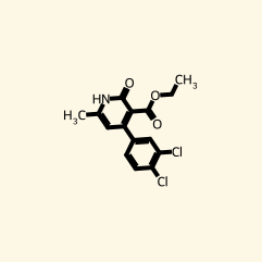 CCOC(=O)c1c(-c2ccc(Cl)c(Cl)c2)cc(C)[nH]c1=O